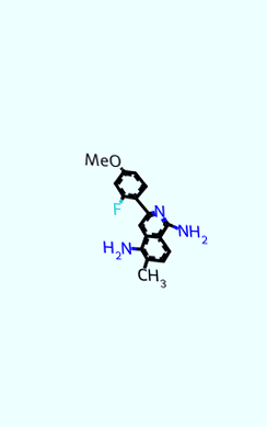 COc1ccc(-c2cc3c(N)c(C)ccc3c(N)n2)c(F)c1